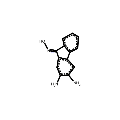 Nc1cc2c(cc1N)-c1ccccc1/C2=N\O